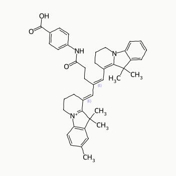 Cc1ccc2c(c1)C(C)(C)C1=[N+]2CCC/C1=C\C(=C\C1=C2N(CCC1)c1ccccc1C2(C)C)CCC(=O)Nc1ccc(C(=O)O)cc1